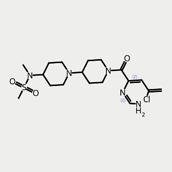 C=C(Cl)/C=C(\N=C/N)C(=O)N1CCC(N2CCC(N(C)S(C)(=O)=O)CC2)CC1